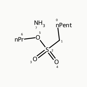 CCCCCCS(=O)(=O)OCCC.N